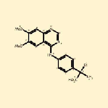 CC[C@@](N)(C(=O)O)c1ccc(Nc2ncnc3cc(OC)c(OC)cc23)cc1